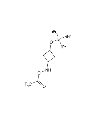 CC(C)[Si](OC1CC(NOC(=O)C(F)(F)F)C1)(C(C)C)C(C)C